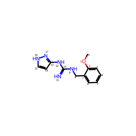 COc1ccccc1CNC(=N)Nc1cc[nH]n1